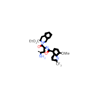 CCOC(=O)[C@H]1Cc2ccccc2CN1C(=O)c1nc(-c2ccc(OC)c3nc(C(F)(F)F)ccc23)oc1[C@H](C)N